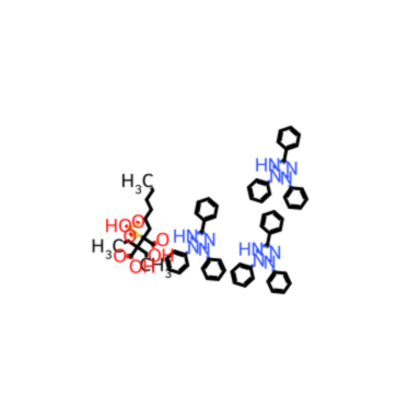 CCCCCCC(C(=O)O)(C(CC)(CC)C(=O)O)S(=O)(=O)O.c1ccc(C2=NN(c3ccccc3)N(c3ccccc3)N2)cc1.c1ccc(C2=NN(c3ccccc3)N(c3ccccc3)N2)cc1.c1ccc(C2=NN(c3ccccc3)N(c3ccccc3)N2)cc1